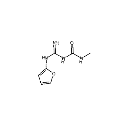 CNC(=O)NC(=N)Nc1ccco1